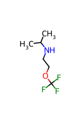 CC(C)NCCOC(F)(F)F